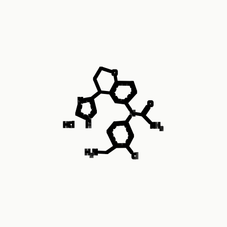 Cl.NCc1ccc(N(C(N)=O)c2ccc3c(c2)C(c2c[nH]cn2)CCO3)cc1Cl